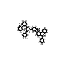 c1ccc(-c2nc(-c3ccc4oc5c(ccc6c(-c7ccccc7)nc7ccccc7c65)c4c3)nc(-c3cccc4oc5ccccc5c34)n2)cc1